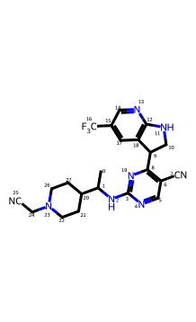 CC(Nc1ncc(C#N)c(C2CNc3ncc(C(F)(F)F)cc32)n1)C1CCN(CC#N)CC1